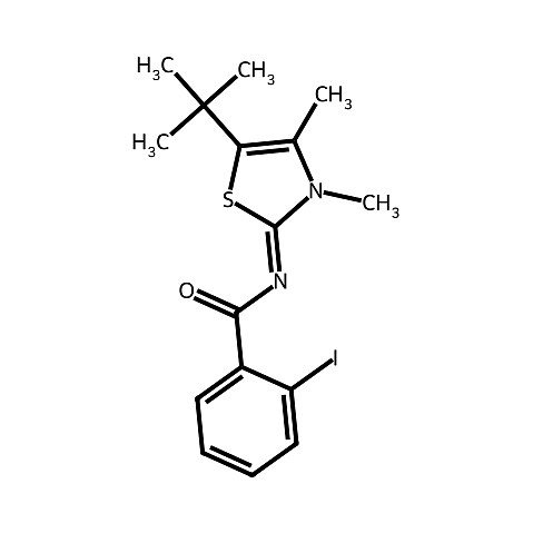 Cc1c(C(C)(C)C)s/c(=N\C(=O)c2ccccc2I)n1C